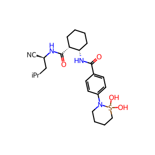 CC(C)C[C@@H](C#N)NC(=O)[C@@H]1CCCC[C@@H]1NC(=O)c1ccc(N2CCCCS2(O)O)cc1